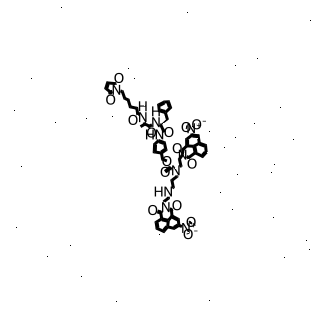 CC(NC(=O)CCCCCN1C(=O)C=CC1=O)C(=O)N[C@@H](Cc1ccccc1)C(=O)Nc1ccc(COC(=O)N(CCCNCCN2C(=O)c3cccc4cc([N+](=O)[O-])cc(c34)C2=O)CCN2C(=O)c3cccc4cc([N+](=O)[O-])cc(c34)C2=O)cc1